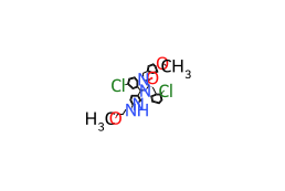 COCCCNc1ccc(C2=N[C@@H](Cc3ccccc3Cl)C(=O)N(Cc3ccc(OC)cc3)c3ccc(Cl)cc32)cn1